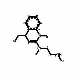 CCC1C=C(N(C)CCNC)N(C)c2ccccc21